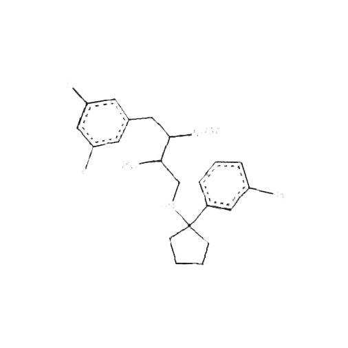 CC(=O)NC(Cc1cc(F)cc(F)c1)C(O)CNC1(c2cccc(C(C)C)c2)CCCC1